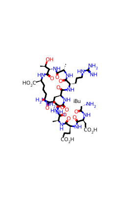 CC[C@H](C)[C@H](N)C(=O)N[C@@H](CC(=O)O)C(=O)N[C@@H](CCC(=O)O)C(=O)N[C@@H](C)C(=O)N[C@@H](CC(N)=O)C(=O)N[C@@H](CCC(N)=O)C(=O)N[C@@H](CCCNC(=N)N)C(=O)N[C@@H](C)C(=O)N[C@H](C(=O)N[C@@H](CCCCN)C(=O)O)[C@@H](C)O